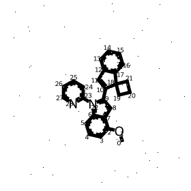 COc1cccc2c1cc(C1=Cc3ccccc3C13CCC3)n2-c1ccccn1